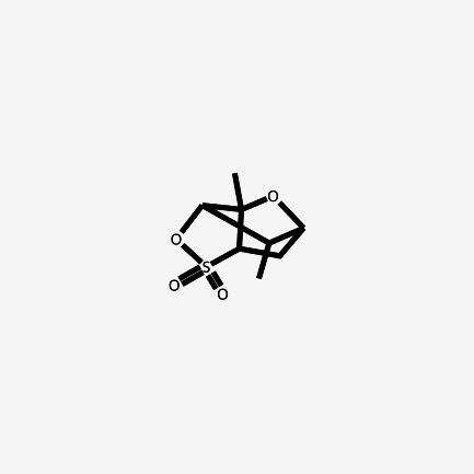 CC1C2CC3C(C)(O2)C1OS3(=O)=O